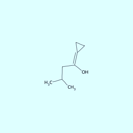 CC(C)CC(O)=C1CC1